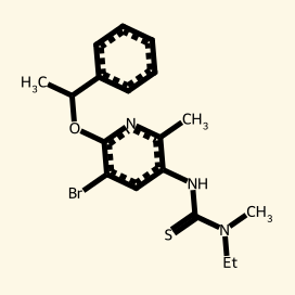 CCN(C)C(=S)Nc1cc(Br)c(OC(C)c2ccccc2)nc1C